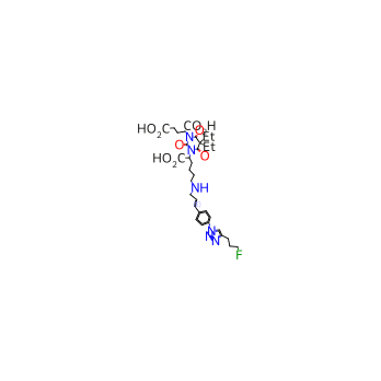 CCC1(CC)C(=O)N(C(CCCCNC/C=C/c2ccc(-n3cc(CCCF)nn3)cc2)C(=O)O)C(=O)N(C(CCC(=O)O)C(=O)O)C1=O